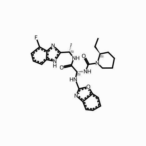 CC[C@H]1CCCCN1C(=O)N[C@H](Nc1nc2ccccc2o1)C(=O)N[C@@H](C)c1nc2c(F)cccc2[nH]1